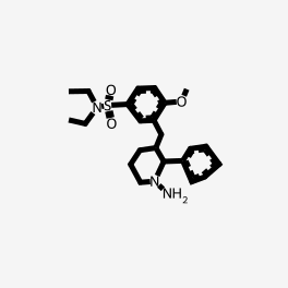 CCN(CC)S(=O)(=O)c1ccc(OC)c(CC2CCCN(N)C2c2ccccc2)c1